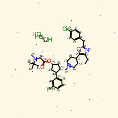 CCc1nc(Cc2ccc(Cl)cc2)oc1C1CCN(C[C@H]2C[C@H](OC(=O)CN(C)C(C)(C)C)C[C@@H]2c2cccc(F)c2)CC1.Cl.Cl.Cl